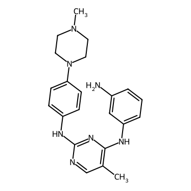 Cc1cnc(Nc2ccc(N3CCN(C)CC3)cc2)nc1Nc1cccc(N)c1